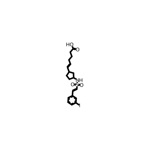 O=C(O)CCCC=CC1CCC(NS(=O)(=O)C=Cc2cccc(I)c2)C1